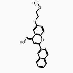 COCCOc1ccc2oc(-c3cc4ccccc4cn3)cc(=NO)c2c1